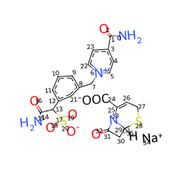 NC(=O)c1cc[n+](Cc2cccc(C(C(N)=O)S(=O)(=O)[O-])c2)cc1.O=C([O-])C1=CCS[C@H]2CC(=O)N12.[Na+]